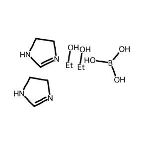 C1=NCCN1.C1=NCCN1.CCO.CCO.OB(O)O